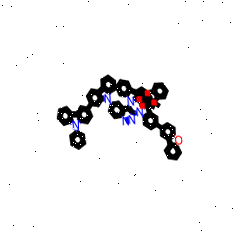 CC1(C)c2ccccc2-c2cc3c4ccccc4n(-c4c(-n5c6ccccc6c6cc(-c7ccc8oc9ccccc9c8c7)ccc65)nnc5ccc(-n6c7ccccc7c7ccc(-c8ccc9c(c8)c8ccccc8n9-c8ccccc8)cc76)cc45)c3cc21